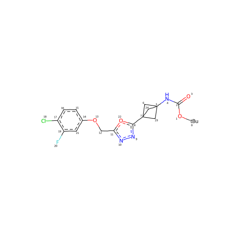 CC(C)(C)OC(=O)NC12CC(c3nnc(COc4ccc(Cl)c(F)c4)o3)(C1)C2